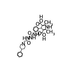 CC1=C(C(=O)O)C(c2cccc(NC(=O)NNC(=O)CN3CCC(c4ccccc4)CC3)c2)C(C(=O)O)=C(C)N1